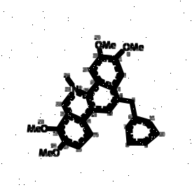 COc1cc2c(Cc3ccccc3)cc3c4ccc(OC)c(OC)c4c[n+](C)c3c2cc1OC